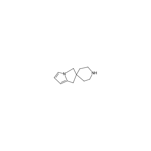 c1cc2n(c1)CC1(CCNCC1)C2